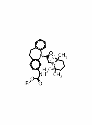 CC(C)OC(=O)Nc1ccc2c(c1)N(C(=O)CN1C(C)(C)CCCC1(C)C)c1ccccc1CC2